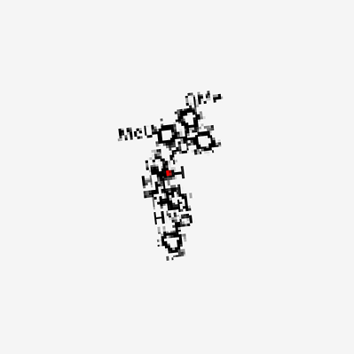 COc1ccc(C(OCC[C@@]23CO[C@@H]([C@H](n4cnc5c(NC(=O)c6ccccc6)ncnc54)O2)[C@@H]3O)(c2ccccc2)c2ccc(OC)cc2)cc1